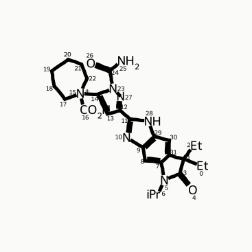 CCC1(CC)C(=O)N(C(C)C)c2cc3nc(-c4[c]c([N+]5(C(=O)O)CCCCCC5)n(C(N)=O)n4)[nH]c3cc21